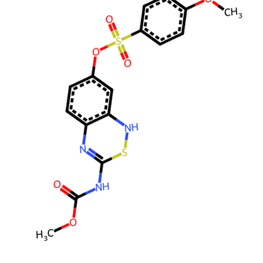 COC(=O)NC1=Nc2ccc(OS(=O)(=O)c3ccc(OC)cc3)cc2NS1